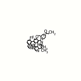 C=CC(=O)N1CCN2c3nc(=O)n(-c4c(C)ccnc4C(C)C)c4cc(-c5c(F)ccc6cc[nH]c(=O)c56)c(F)c(c34)OCC2C1